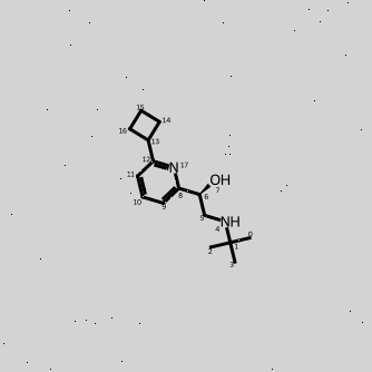 CC(C)(C)NC[C@H](O)c1cccc(C2CCC2)n1